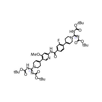 COc1cc(NC(=O)c2ccc(C3=CCN(/C(=N\C(=O)OC(C)(C)C)NC(=O)OC(C)(C)C)CC3)c(F)c2)ncc1C1=CCN(/C(=N\C(=O)OC(C)(C)C)NC(=O)OC(C)(C)C)CC1